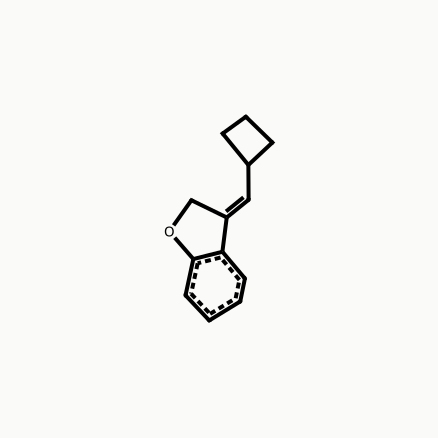 C(=C1COc2ccccc21)C1CCC1